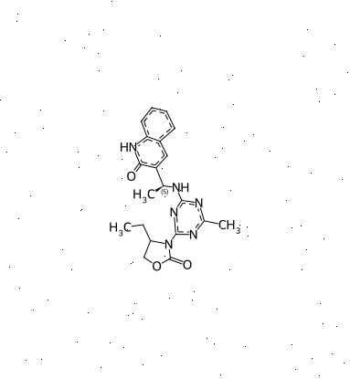 CCC1COC(=O)N1c1nc(C)nc(N[C@@H](C)c2cc3ccccc3[nH]c2=O)n1